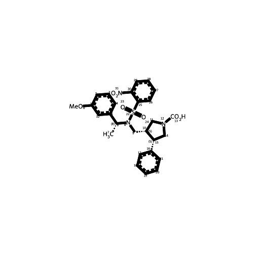 COc1cccc([C@@H](C)N(C[C@@H]2CN(C(=O)O)C[C@@H]2c2ccccc2)S(=O)(=O)c2ccccc2[N+](=O)[O-])c1